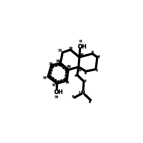 CN(C)CCC12CCCCC1(O)CCc1ccc(O)cc12